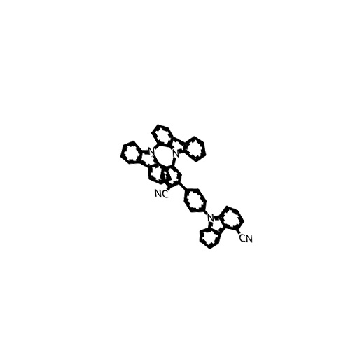 N#Cc1ccc(-n2c3ccccc3c3cccc(-n4c5ccccc5c5ccccc54)c32)cc1-c1ccc(-n2c3ccccc3c3c(C#N)cccc32)cc1